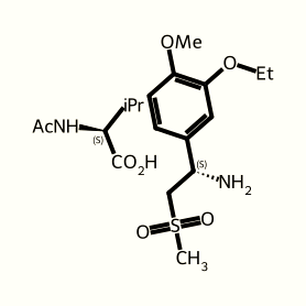 CC(=O)N[C@H](C(=O)O)C(C)C.CCOc1cc([C@H](N)CS(C)(=O)=O)ccc1OC